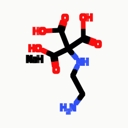 NCCNC(C(=O)O)(C(=O)O)C(=O)O.[NaH]